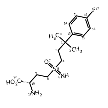 CC(C)(CCS(=N)(=O)CC[C@H](N)C(=O)O)c1ccc(F)cc1